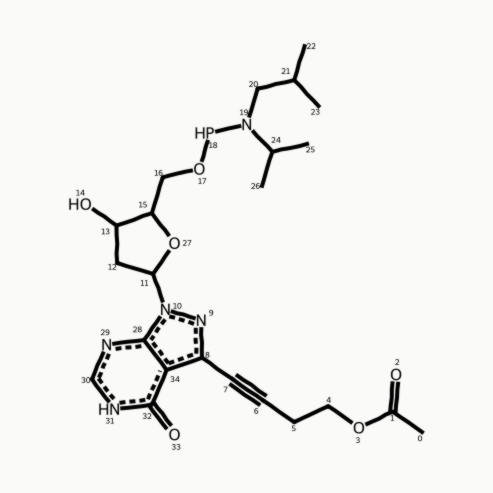 CC(=O)OCCC#Cc1nn(C2CC(O)C(COPN(CC(C)C)C(C)C)O2)c2nc[nH]c(=O)c12